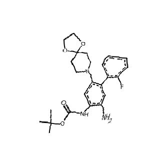 CC(C)(C)OC(=O)Nc1cc(N2CCC3(CC2)OCCO3)c(-c2ccccc2F)cc1N